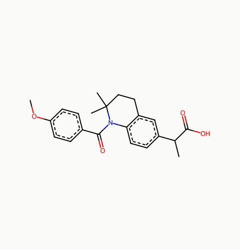 COc1ccc(C(=O)N2c3ccc(C(C)C(=O)O)cc3CCC2(C)C)cc1